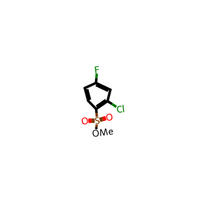 [CH2]OS(=O)(=O)c1ccc(F)cc1Cl